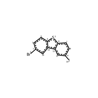 Brc1ccc2sc3ccc(I)cc3c2c1